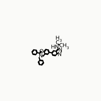 CC(C)Nc1ncnc2ccc(-c3cccc(CN(Cc4ccccc4)C(=O)c4ccccc4)c3)cc12